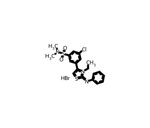 Br.CCn1c(-c2cc(Cl)cc(S(=O)(=O)N(C)C)c2)cs/c1=N/c1ccccc1